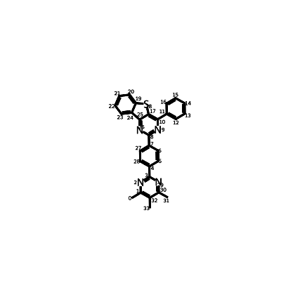 Cc1nc(-c2ccc(-c3nc(-c4ccccc4)c4sc5ccccc5c4n3)cc2)nc(C)c1C